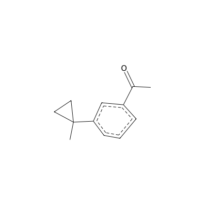 CC(=O)c1cccc(C2(C)CC2)c1